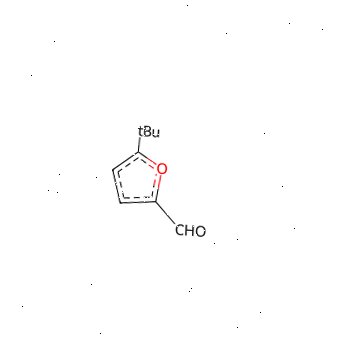 CC(C)(C)c1ccc(C=O)o1